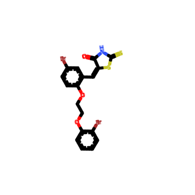 O=C1NC(=S)SC1=Cc1cc(Br)ccc1OCCOc1ccccc1Br